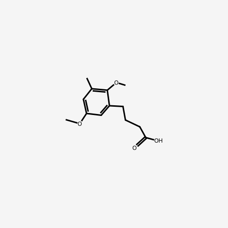 COc1cc(C)c(OC)c(CCCC(=O)O)c1